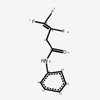 O=C(CC(F)=C(F)F)Nc1ccccc1